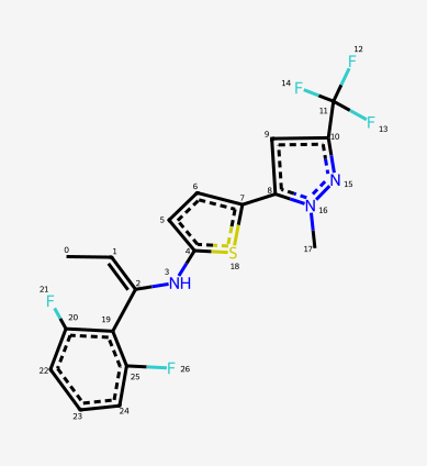 C/C=C(/Nc1ccc(-c2cc(C(F)(F)F)nn2C)s1)c1c(F)cccc1F